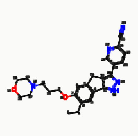 CCc1cc2c(cc1OCCCN1CCOCC1)Cc1c(-c3ccc(C#N)nc3)n[nH]c1-2